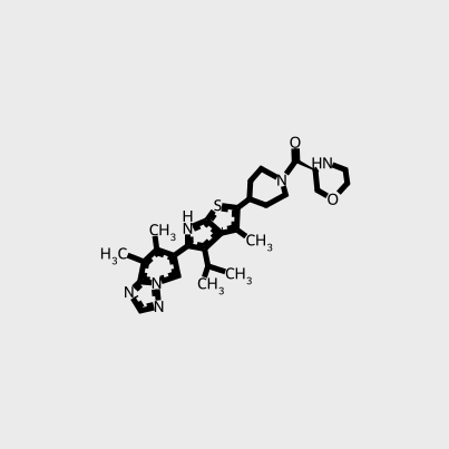 Cc1c(-c2[nH]c3sc(C4CCN(C(=O)[C@@H]5COCCN5)CC4)c(C)c3c2C(C)C)cn2ncnc2c1C